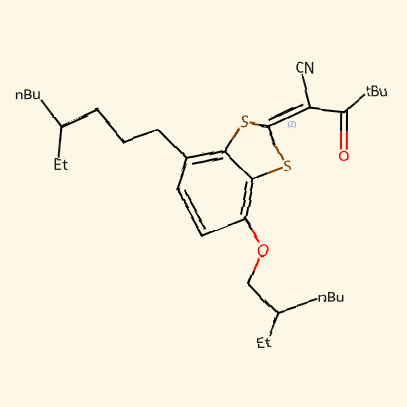 CCCCC(CC)CCCc1ccc(OCC(CC)CCCC)c2c1S/C(=C(\C#N)C(=O)C(C)(C)C)S2